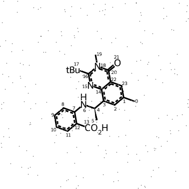 Cc1cc([C@@H](C)Nc2ccccc2C(=O)O)c2nc(C(C)(C)C)n(C)c(=O)c2c1